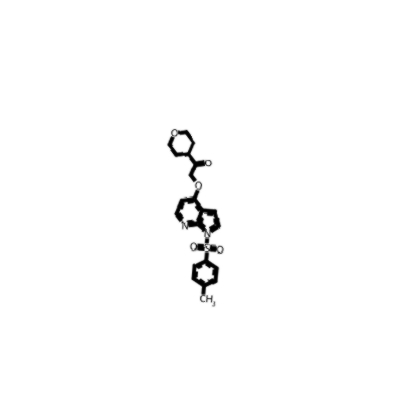 Cc1ccc(S(=O)(=O)n2ccc3c(OCC(=O)C4CCOCC4)ccnc32)cc1